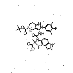 COC(=O)C(C)(C)N(C(=O)Nc1c2c(nn1-c1cc(C)c(F)c(C)c1)CCN(C(=O)OC(C)(C)C)[C@H]2C)c1ccc2c(cnn2C)c1F